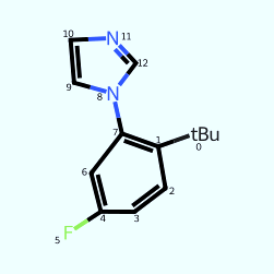 CC(C)(C)c1ccc(F)cc1-n1ccnc1